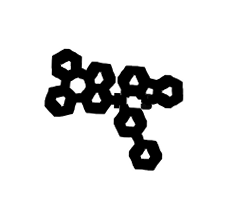 c1ccc(-c2ccc(N(c3ccc4c5c(cccc35)-c3ccccc3-c3ccccc3-4)c3cccc4c3sc3ccccc34)cc2)cc1